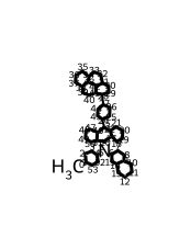 Cc1ccc(N(c2ccc3ccccc3c2)c2c3ccccc3c(-c3ccc(-c4ccc5ccc6cccc7ccc4c5c67)cc3)c3ccccc23)cc1